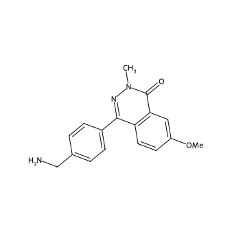 COc1ccc2c(-c3ccc(CN)cc3)nn(C)c(=O)c2c1